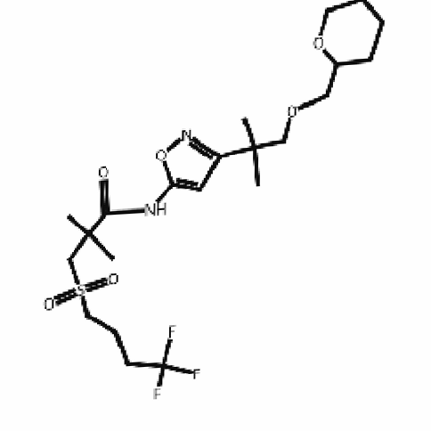 CC(C)(CS(=O)(=O)CCCC(F)(F)F)C(=O)Nc1cc(C(C)(C)COCC2CCCCO2)no1